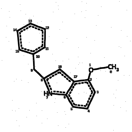 COc1cccc2[nH]c(Cc3ccccc3)cc12